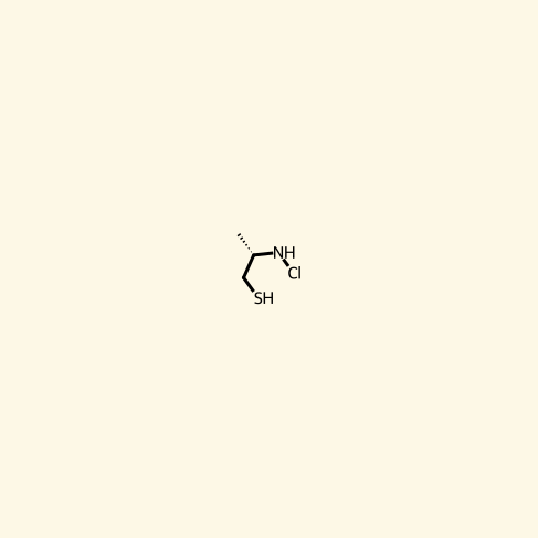 C[C@@H](CS)NCl